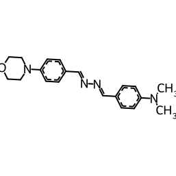 CN(C)c1ccc(/C=N/N=C/c2ccc(N3CCOCC3)cc2)cc1